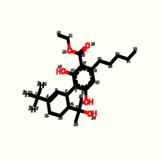 [2H]C([2H])([2H])C1=CC(c2c(O)cc(CCCCC)c(C(=O)OCC)c2O)C(C(C)(C)O)CC1